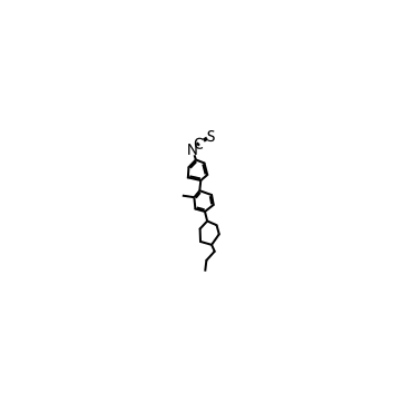 CCCC1CCC(c2ccc(-c3ccc(N=C=S)cc3)c(C)c2)CC1